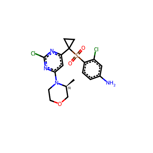 C[C@H]1COCCN1c1cc(C2(S(=O)(=O)c3ccc(N)cc3Cl)CC2)nc(Cl)n1